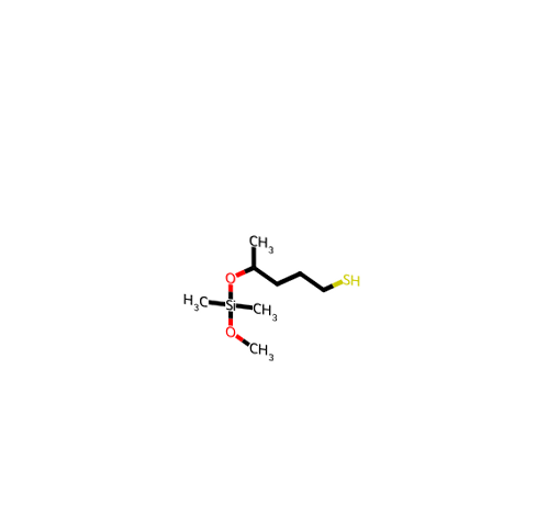 CO[Si](C)(C)OC(C)CCCS